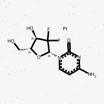 Nc1ccn([C@@H]2O[C@H](CO)[C@@H](O)C2(F)F)c(=O)n1.[Pt]